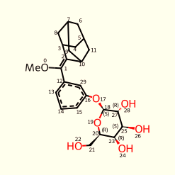 COC(=C1C2CC3CC(C2)CC1C3)c1cccc(O[C@@H]2O[C@H](CO)[C@H](O)[C@H](O)[C@H]2O)c1